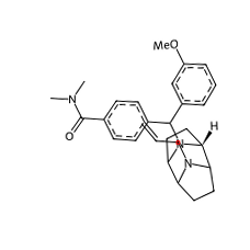 C=CCN1C2CCC1[C@H]1CCC2N1C(c1ccc(C(=O)N(C)C)cc1)c1cccc(OC)c1